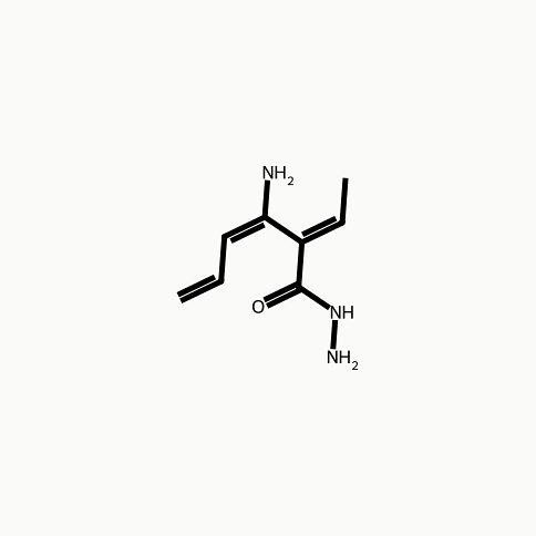 C=C/C=C(N)\C(=C/C)C(=O)NN